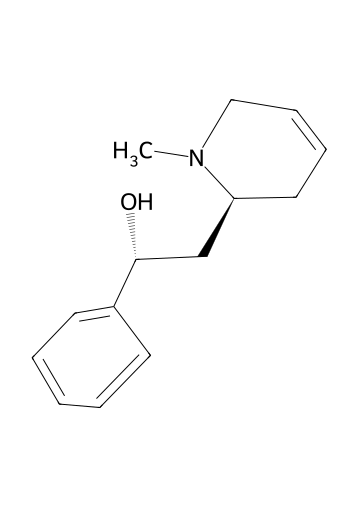 CN1CC=CC[C@H]1C[C@@H](O)c1ccccc1